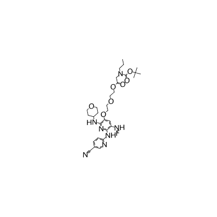 CCCN(CC(=O)OCCOCCOc1cc(NF)c(Nc2ccc(C#N)cn2)nc1NC1CCOCC1)C(=O)OC(C)(C)C